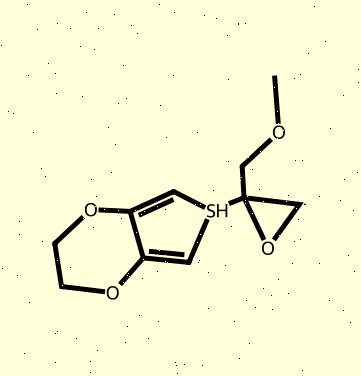 COCC1([SH]2C=C3OCCOC3=C2)[CH]O1